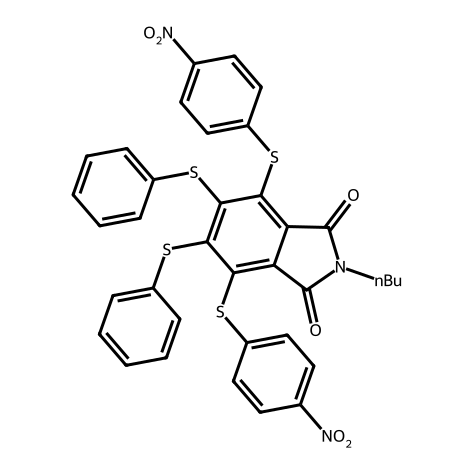 CCCCN1C(=O)c2c(Sc3ccc([N+](=O)[O-])cc3)c(Sc3ccccc3)c(Sc3ccccc3)c(Sc3ccc([N+](=O)[O-])cc3)c2C1=O